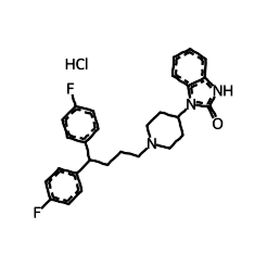 Cl.O=c1[nH]c2ccccc2n1C1CCN(CCCC(c2ccc(F)cc2)c2ccc(F)cc2)CC1